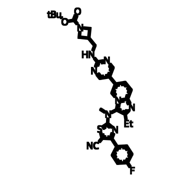 CCc1nc2ccc(-c3cnc(NCC4CN(C(=O)OC(C)(C)C)C4)nc3)cn2c1N(C)c1nc(-c2ccc(F)cc2)c(C#N)s1